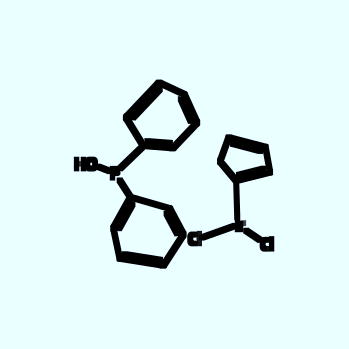 OP(c1ccccc1)c1ccccc1.[Cl][Ir]([Cl])[C]1=CC=CC1